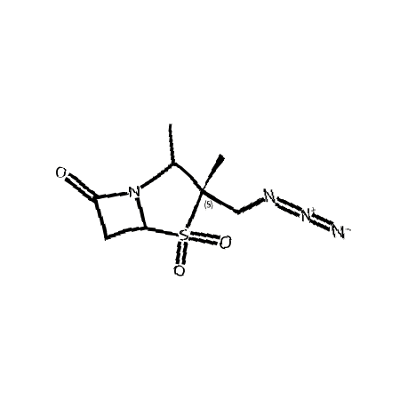 CC1N2C(=O)CC2S(=O)(=O)[C@@]1(C)CN=[N+]=[N-]